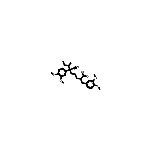 CCC(C)C(C#N)(CCCC(Cc1ccc(OC)c(OC)c1)C(=O)O)c1ccc(OC)c(OC)c1